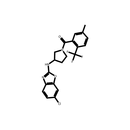 Cc1ccc(C(F)(F)F)c(C(=O)N2CCC(Nc3nc4ccc(Cl)cc4o3)C2)c1